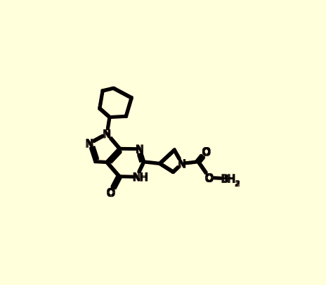 BOC(=O)N1CC(c2nc3c(cnn3C3CCCCC3)c(=O)[nH]2)C1